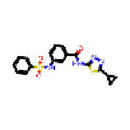 O=C(Nc1nnc(C2CC2)s1)c1cccc(NS(=O)(=O)c2ccccc2)c1